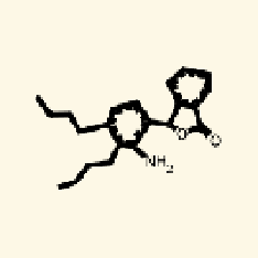 CCCCc1ccc(C2OC(=O)c3ccccc32)c(N)c1CCCC